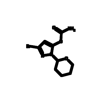 NC(=O)Oc1cc(Br)nn1C1CCCCO1